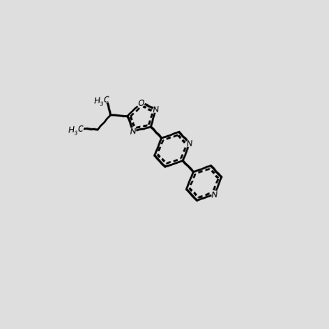 CCC(C)c1nc(-c2ccc(-c3ccncc3)nc2)no1